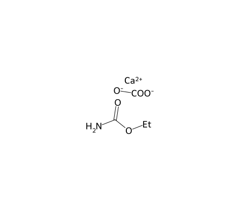 CCOC(N)=O.O=C([O-])[O-].[Ca+2]